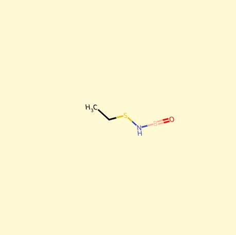 CCSNB=O